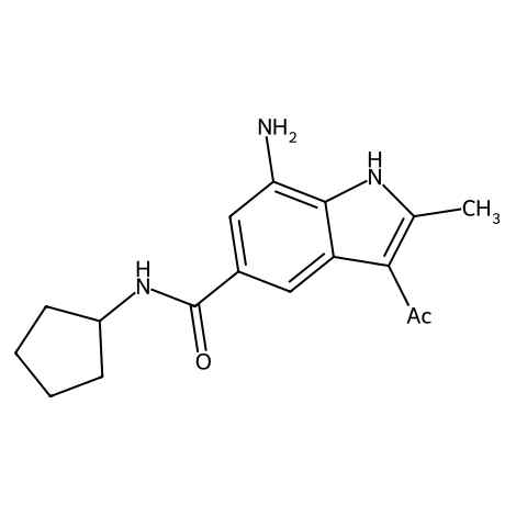 CC(=O)c1c(C)[nH]c2c(N)cc(C(=O)NC3CCCC3)cc12